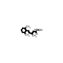 C=C1CCCC(C)=C1/C=C/C(C)=CC(=O)NO